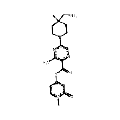 Cn1ccc(SC(=N)c2ncc(N3CCC(C)(CN)CC3)nc2N)cc1=O